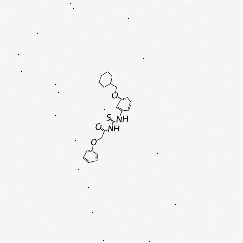 O=C(COc1ccccc1)NC(=S)Nc1cccc(OCC2CCCCC2)c1